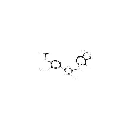 CCC(=O)Nc1ccc(-c2nc(Nc3ccc4[nH]ncc4c3Cl)n(C)n2)cc1OC